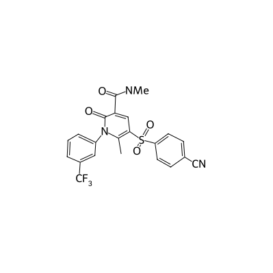 CNC(=O)c1cc(S(=O)(=O)c2ccc(C#N)cc2)c(C)n(-c2cccc(C(F)(F)F)c2)c1=O